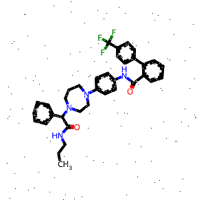 CCCNC(=O)C(c1ccccc1)N1CCCN(c2ccc(NC(=O)c3ccccc3-c3ccc(C(F)(F)F)cc3)cc2)CC1